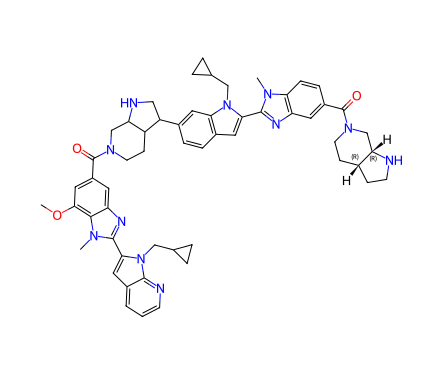 COc1cc(C(=O)N2CCC3C(C2)NCC3c2ccc3cc(-c4nc5cc(C(=O)N6CC[C@H]7CCN[C@H]7C6)ccc5n4C)n(CC4CC4)c3c2)cc2nc(-c3cc4cccnc4n3CC3CC3)n(C)c12